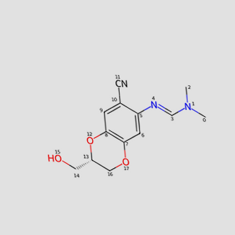 CN(C)C=Nc1cc2c(cc1C#N)O[C@@H](CO)CO2